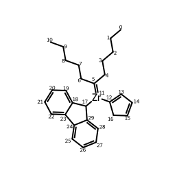 CCCCC[C](CCCCC)=[Zr]([C]1=CC=CC1)[CH]1c2ccccc2-c2ccccc21